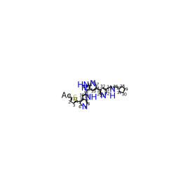 CC(=O)c1ccc(-c2cncc3[nH]c(-c4n[nH]c5ncc(-c6cncc(CNCC7CCCC7)c6)cc45)cc23)s1